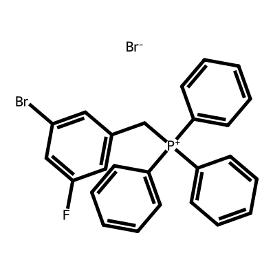 Fc1cc(Br)cc(C[P+](c2ccccc2)(c2ccccc2)c2ccccc2)c1.[Br-]